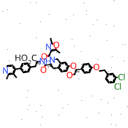 Cc1nc(C(=O)N2Cc3cc4c(cc3C[C@H]2C(=O)N[C@@H](Cc2ccc(-c3ccnc(C)c3C)cc2)C(=O)O)OC[C@H](c2ccc(OCCc3ccc(Cl)c(Cl)c3)cc2)O4)c(C)o1